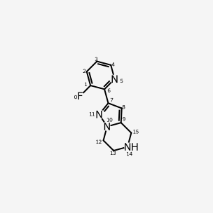 Fc1cccnc1-c1cc2n(n1)CCNC2